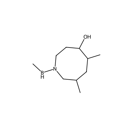 CBN1CCC(O)C(C)CC(C)C1